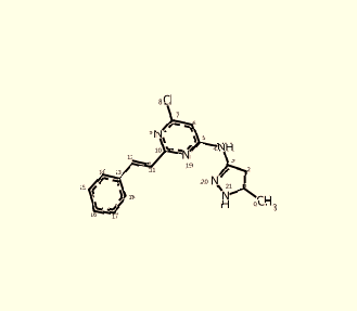 CC1CC(Nc2cc(Cl)nc(/C=C/c3ccccc3)n2)=NN1